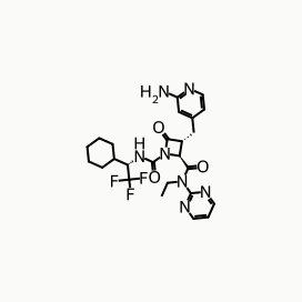 CCN(C(=O)[C@@H]1[C@@H](Cc2ccnc(N)c2)C(=O)N1C(=O)N[C@@H](C1CCCCC1)C(F)(F)F)c1ncccn1